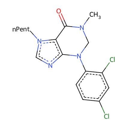 CCCCCn1cnc2c1C(=O)N(C)CN2c1ccc(Cl)cc1Cl